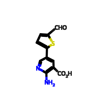 Nc1ncc(-c2ccc(C=O)s2)cc1C(=O)O